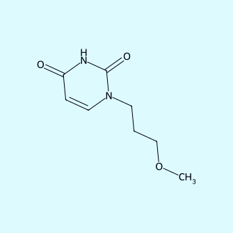 COCCCn1ccc(=O)[nH]c1=O